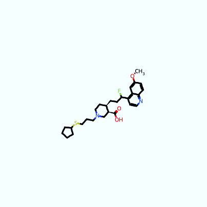 COc1ccc2nccc(C(F)CC[C@@H]3CCN(CCCSC4CCCC4)C[C@@H]3C(=O)O)c2c1